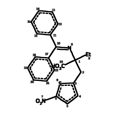 CCC(Cc1ccc([N+](=O)[O-])s1)(N=C(c1ccccc1)c1ccccc1)C(=O)O